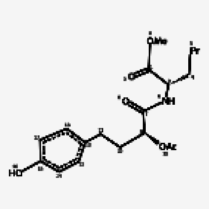 COC(=O)[C@H](CC(C)C)NC(=O)[C@H](CCc1ccc(O)cc1)OC(C)=O